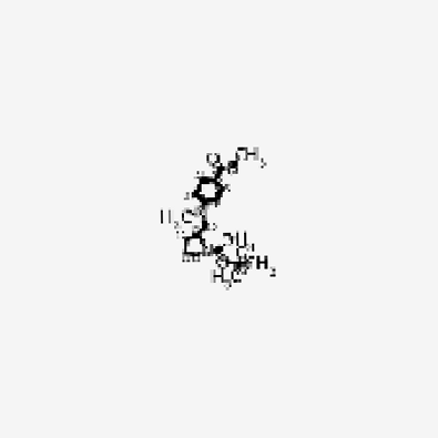 COC(=O)c1ccc(N(C)CC2CCCN2C(=O)OC(C)(C)C)cc1